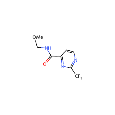 COCNC(=O)c1ccnc(C(F)(F)F)n1